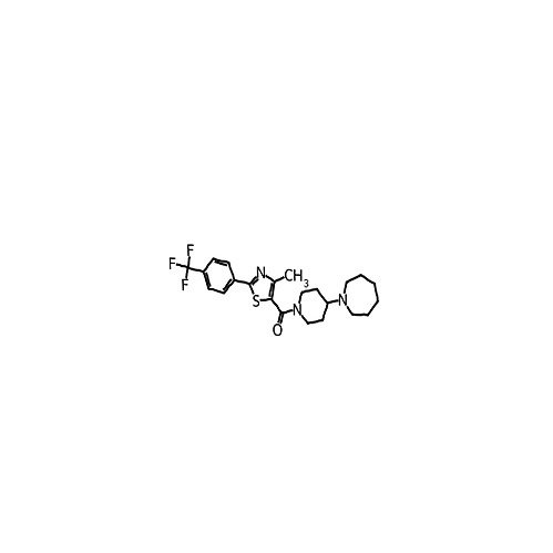 Cc1nc(-c2ccc(C(F)(F)F)cc2)sc1C(=O)N1CCC(N2CCCCCC2)CC1